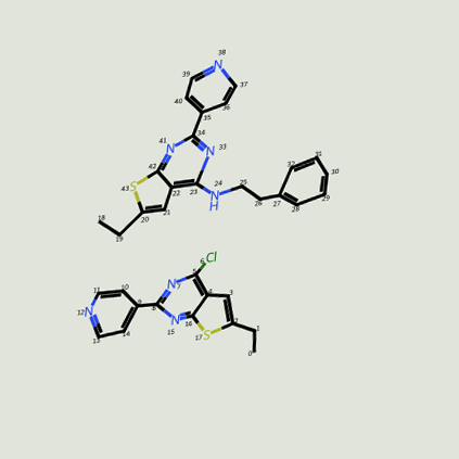 CCc1cc2c(Cl)nc(-c3ccncc3)nc2s1.CCc1cc2c(NCCc3ccccc3)nc(-c3ccncc3)nc2s1